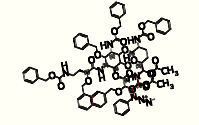 CC(=O)OCC1O[C@H](O[C@@H]2C(O)C(O[C@H]3O[C@H](CNC(=O)OCc4ccccc4)CCC3NC(=O)OCc3ccccc3)[C@@H](NC(=O)OCc3ccccc3)C(OCc3ccccc3)[C@H]2NC(=O)[C@H](CCNC(=O)OCc2ccccc2)OCc2ccccc2)C(OCc2ccccc2)[C@@H](N=[N+]=[N-])[C@@H]1OC(C)=O